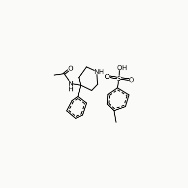 CC(=O)NC1(c2ccccc2)CCNCC1.Cc1ccc(S(=O)(=O)O)cc1